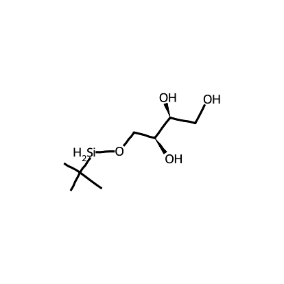 CC(C)(C)[SiH2]OC[C@H](O)[C@@H](O)CO